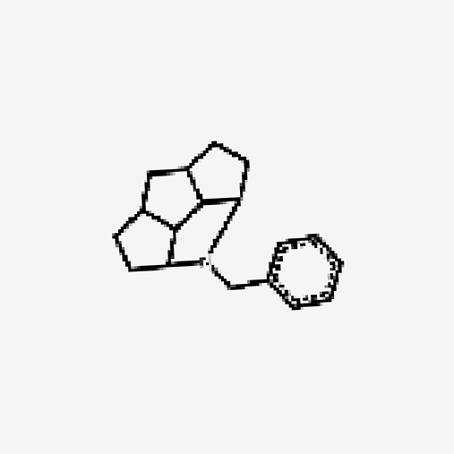 c1ccc(CN2C3CCC4CC5CCC2C5C43)cc1